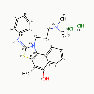 Cc1c(O)c2ccccc2c2c1s/c(=N/c1ccccc1)n2CCCN(C)C.Cl.Cl